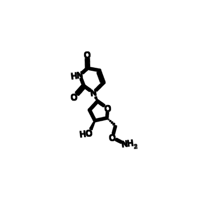 NOC[C@H]1O[C@@H](n2ccc(=O)[nH]c2=O)C[C@@H]1O